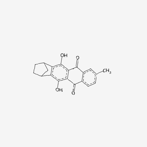 Cc1ccc2c(c1)C(=O)c1c(O)c3c(c(O)c1C2=O)C1CCC3C1